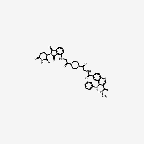 CNC(=O)c1cnc2ccc(C(=O)NCC(=O)N3CCN(C(=O)CNc4cccc5c4C(=O)N(C4CCC(=O)NC4=O)C5=O)CC3)cc2c1Nc1ccccc1